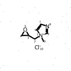 C[N+]1(CC2CO2)C=CN=C1.[Cl-]